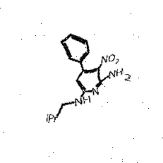 CC(C)CNc1cc(-c2ccccc2)c([N+](=O)[O-])c(N)n1